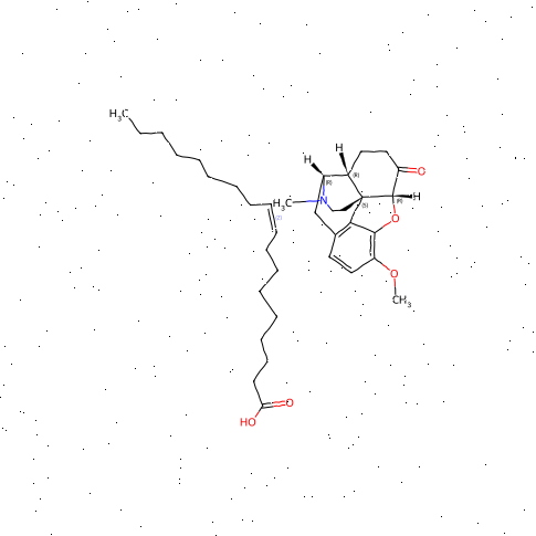 CCCCCCCC/C=C\CCCCCCCC(=O)O.COc1ccc2c3c1O[C@H]1C(=O)CC[C@H]4[C@@H](C2)N(C)CC[C@]314